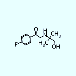 CC(C)(CO)NCC(=O)c1ccc(F)cc1